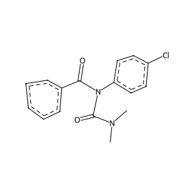 CN(C)C(=O)N(C(=O)c1ccccc1)c1ccc(Cl)cc1